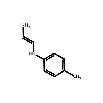 Cc1ccc(N/C=C/N)cc1